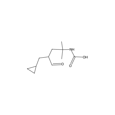 CC(C)(CC(C=O)CC1CC1)NC(=O)O